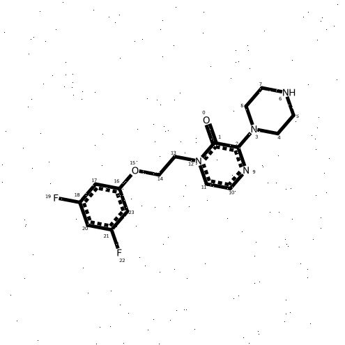 O=c1c(N2CCNCC2)nccn1CCOc1cc(F)cc(F)c1